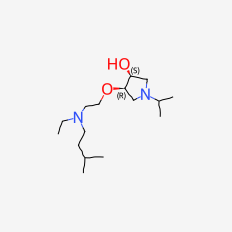 CCN(CCO[C@@H]1CN(C(C)C)C[C@@H]1O)CCC(C)C